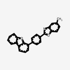 Cc1ccc2oc(-c3ccc(-c4cccc5c4oc4ccccc45)cc3)nc2c1